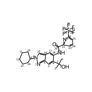 CC(C)(O)c1cc2nn(C3CCCCC3)cc2cc1NC(=O)c1cccc(S(F)(F)(F)(F)F)n1